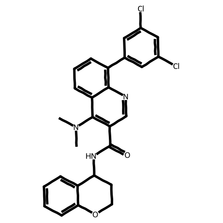 CN(C)c1c(C(=O)NC2CCOc3ccccc32)cnc2c(-c3cc(Cl)cc(Cl)c3)cccc12